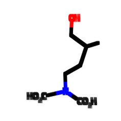 CC(CO)CCN(C(=O)O)C(=O)O